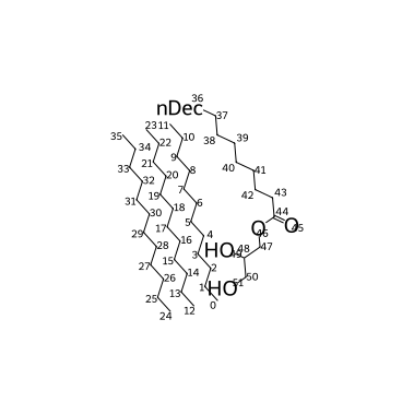 CCCCCCCCCCCC.CCCCCCCCCCCC.CCCCCCCCCCCC.CCCCCCCCCCCCCCCCCC(=O)OCC(O)CO